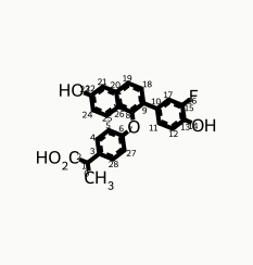 CC(C(=O)O)c1ccc(Oc2c(-c3ccc(O)c(F)c3)ccc3cc(O)ccc23)cc1